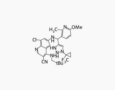 COc1ccc(C(Nc2cc(Cl)c3ncc(C#N)c(NCC(C)(C)C)c3c2)C2=CN(C3(C(F)(F)F)CC3)NN2)c(C)n1